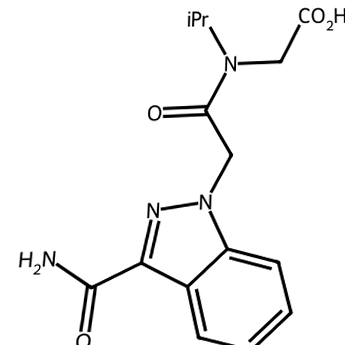 CC(C)N(CC(=O)O)C(=O)Cn1nc(C(N)=O)c2ccccc21